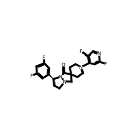 O=C1N2[C@H](c3cc(F)cc(F)c3)CCN2CC12CCN(c1cc(F)ncc1F)CC2